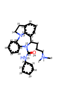 CN(C)CCCC1c2cccc3c2N(CC3)c2ccccc2N1C(=O)Nc1ccccc1